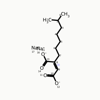 CC(C)CCCCC/C(=C/C(=O)[O-])C(=O)[O-].[Na+].[Na+]